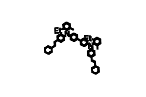 CCc1cccc(C)c1N(c1ccc(/C=C/C2=CCCC=C2)cc1)c1ccc(-c2ccc(N(c3ccc(/C=C/C4=CCCC=C4)cc3)c3c(C)cccc3CC)cc2)cc1